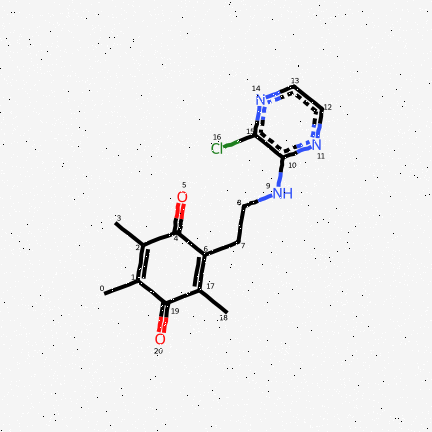 CC1=C(C)C(=O)C(CCNc2nccnc2Cl)=C(C)C1=O